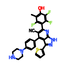 Cc1c(O)c(F)c(F)c(-c2nc3[nH]nc(-c4cccs4)c3c(-c3ccc(N4CCNCC4)cc3)c2C#N)c1F